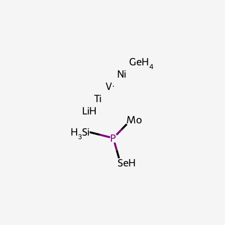 [GeH4].[LiH].[Ni].[SiH3][P]([SeH])[Mo].[Ti].[V]